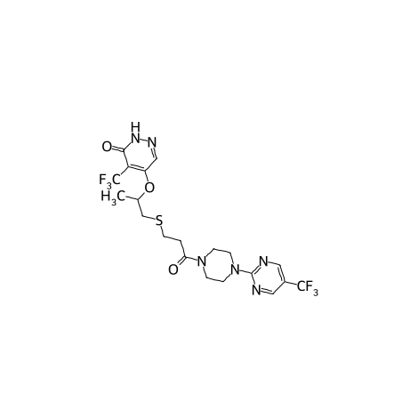 CC(CSCCC(=O)N1CCN(c2ncc(C(F)(F)F)cn2)CC1)Oc1cn[nH]c(=O)c1C(F)(F)F